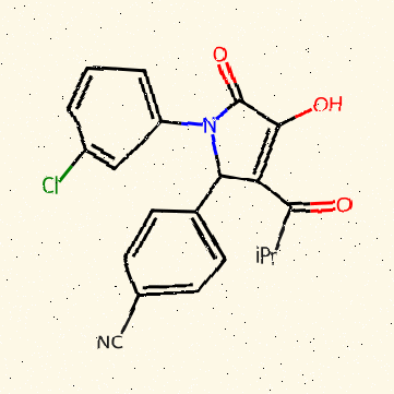 CC(C)C(=O)C1=C(O)C(=O)N(c2cccc(Cl)c2)C1c1ccc(C#N)cc1